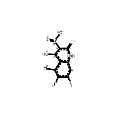 O=c1[nH]c2cc(Cl)c(F)c(Cl)c2c(O)c1[N+](=O)[O-]